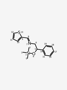 C[Si](C)(C)OC(CN=Cc1cccs1)c1ccccc1